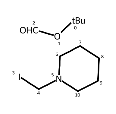 CC(C)(C)OC=O.ICN1CCCCC1